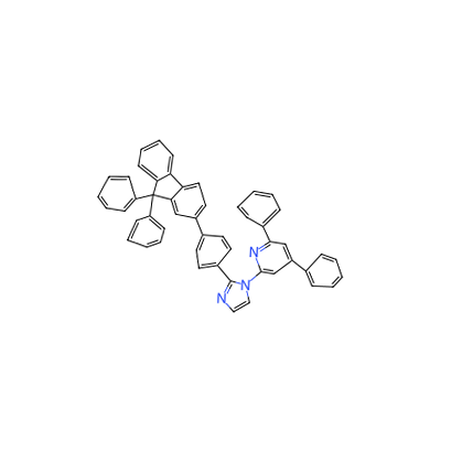 c1ccc(-c2cc(-c3ccccc3)nc(-n3ccnc3-c3ccc(-c4ccc5c(c4)C(c4ccccc4)(c4ccccc4)c4ccccc4-5)cc3)c2)cc1